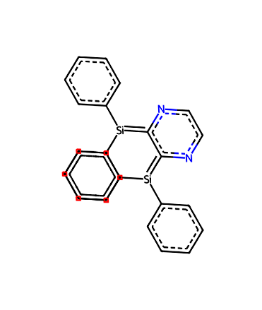 c1ccc([Si](c2ccccc2)=c2nccnc2=[Si](c2ccccc2)c2ccccc2)cc1